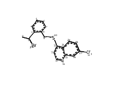 CC(Br)c1ccccc1CSc1ccnc2cc(C(F)(F)F)ccc12